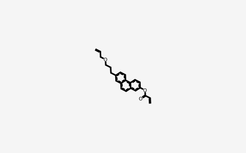 C=CCOCCCc1ccc2c(ccc3cc(OC(=O)C=C)ccc32)c1